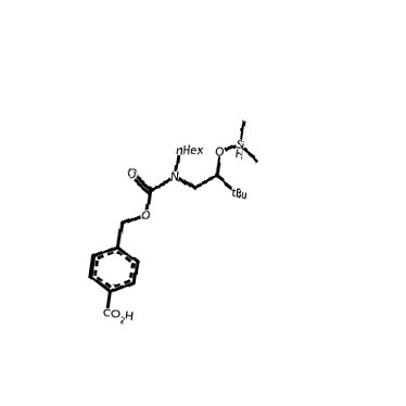 CCCCCCN(CC(O[SiH](C)C)C(C)(C)C)C(=O)OCc1ccc(C(=O)O)cc1